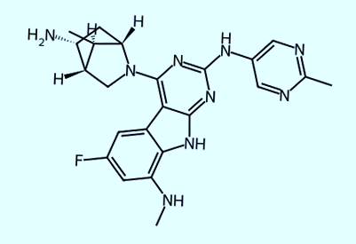 CNc1cc(F)cc2c1[nH]c1nc(Nc3cnc(C)nc3)nc(N3C[C@H]4[C@@H](C)[C@@H]3C[C@H]4N)c12